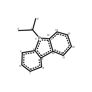 CC(C)p1c2ccccc2c2ccccc21